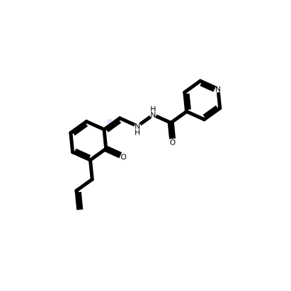 C=CCC1=CC=C/C(=C/NNC(=O)c2ccncc2)C1=O